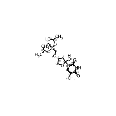 Cc1cn(C2(O)C[C@@H](OCP(=O)(OC(C)C)OC(C)C)CO2)c(=O)[nH]c1=O